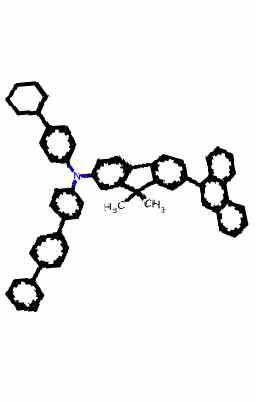 CC1(C)c2cc(-c3cc4ccccc4c4ccccc34)ccc2-c2ccc(N(c3ccc(-c4ccc(-c5ccccc5)cc4)cc3)c3ccc(C4CCCCC4)cc3)cc21